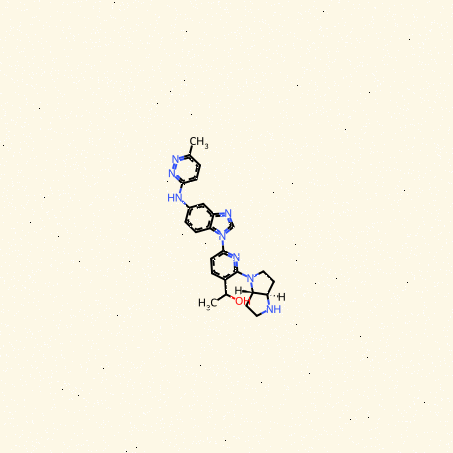 Cc1ccc(Nc2ccc3c(c2)ncn3-c2ccc(C(C)O)c(N3CC[C@H]4NCC[C@@H]43)n2)nn1